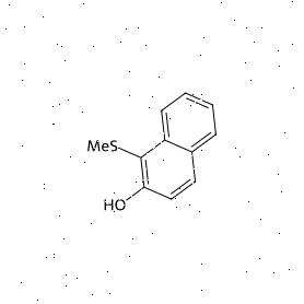 CSc1c(O)ccc2ccccc12